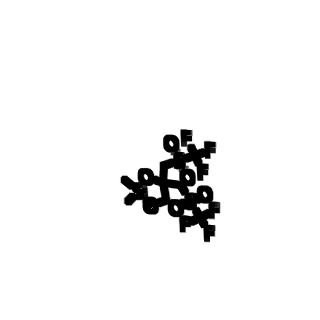 C[Si]1(C)OCC(CS(=O)(=O)C(F)(F)F)(CS(=O)(=O)C(F)(F)F)O1